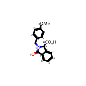 COc1ccc(CN2C(=O)c3ccccc3C2C(=O)O)cc1